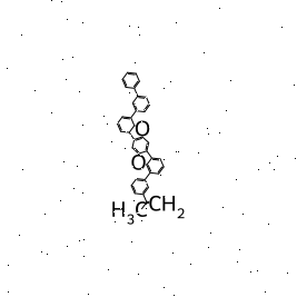 C=C(C)c1cccc(-c2cccc3c2oc2cc4c(cc23)OC2C(c3cccc(-c5ccccc5)c3)=CC=CC42)c1